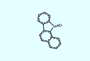 O=[Se]1c2ccccc2-c2ccc3ccccc3c21